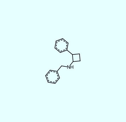 c1ccc(CNC2CCC2c2ccccc2)cc1